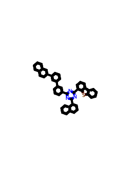 c1cc(-c2cccc(-c3nc(-c4cccc5ccccc45)nc(-c4cccc5c4sc4ccccc45)n3)c2)cc(-c2ccc3ccccc3c2)c1